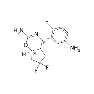 NC1=N[C@H](c2cc(N)ccc2F)C2CC(F)(F)C[C@H]2O1